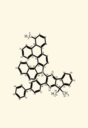 CC1C=CC=C2c3ccc4c(c3-c3ccccc3C21)c1c2ccccc2ccc1n4-c1nc2c(nc1-c1ccc(-c3ccccc3)cc1)C(C)(C)c1ccccc1-2